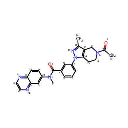 CN(C(=O)c1cccc(-n2nc(C(F)(F)F)c3c2CCN(C(=O)C(C)(C)C)C3)c1)c1ccc2nccnc2c1